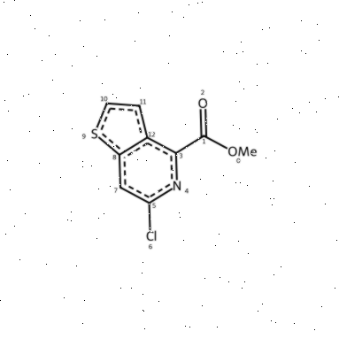 COC(=O)c1nc(Cl)cc2sccc12